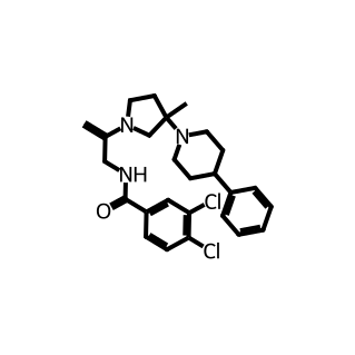 C=C(CNC(=O)c1ccc(Cl)c(Cl)c1)N1CCC(C)(N2CCC(c3ccccc3)CC2)C1